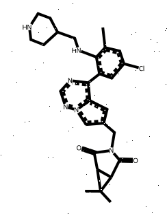 Cc1cc(Cl)cc(-c2ncnn3cc(CN4C(=O)C5C(C4=O)C5(C)C)cc23)c1NCC1CCNCC1